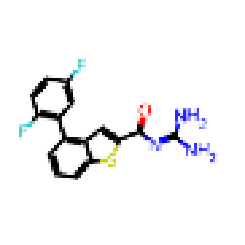 NC(N)=NC(=O)c1cc2c(-c3cc(F)ccc3F)cccc2s1